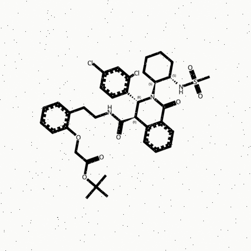 CC(C)(C)OC(=O)COc1ccccc1CCNC(=O)[C@@H]1c2ccccc2C(=O)N([C@H]2CCCC[C@@H]2NS(C)(=O)=O)[C@H]1c1ccc(Cl)cc1Cl